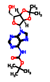 CC(C)(C)OC(=O)Nc1ncnc2c1ncn2[C@@H]1O[C@H](CO)[C@H]2OC(C)(C)O[C@H]21